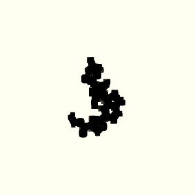 CCOC(=O)c1coc(-c2ccn3ncc(-c4c(C)nn(C(=O)OC(C)(C)C)c4C)c3c2)c1